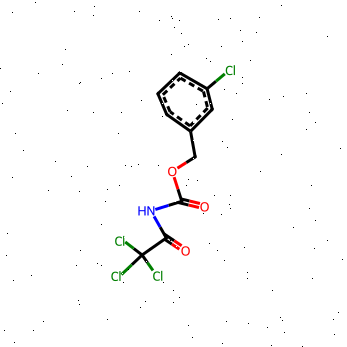 O=C(NC(=O)C(Cl)(Cl)Cl)OCc1cccc(Cl)c1